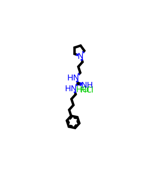 Cl.Cl.N=C(NCCCCc1ccccc1)NCCCN1CCCC1